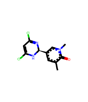 Cc1cc([C@@H]2N=C(Cl)C=C(Cl)N2)cn(C)c1=O